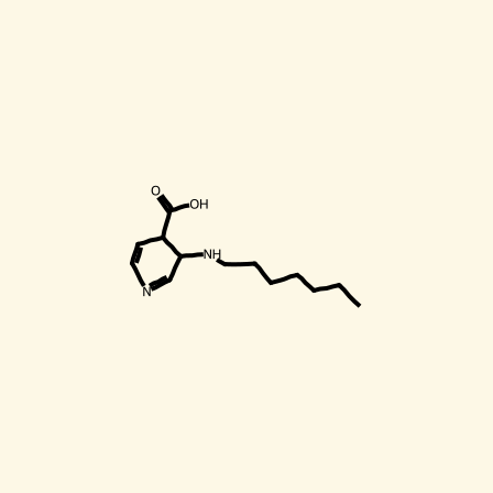 CCCCCCCNC1C=NC=CC1C(=O)O